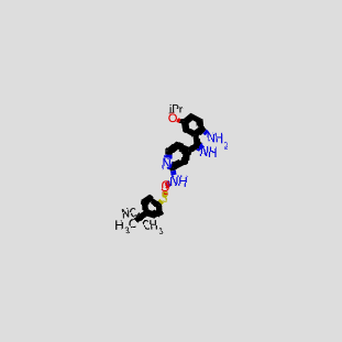 CC(C)Oc1ccc(N)c(C(=N)c2ccnc(NOSc3ccc(C(C)(C)C#N)cc3)c2)c1